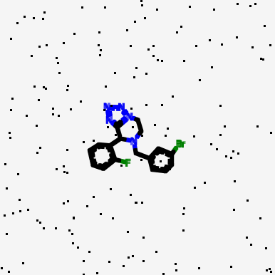 Fc1ccccc1C1c2nnnn2CCN1Cc1cccc(Br)c1